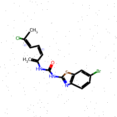 C=C(/C=C\C=C(/C)Cl)NC(=O)Nc1nc2ccc(Br)cc2s1